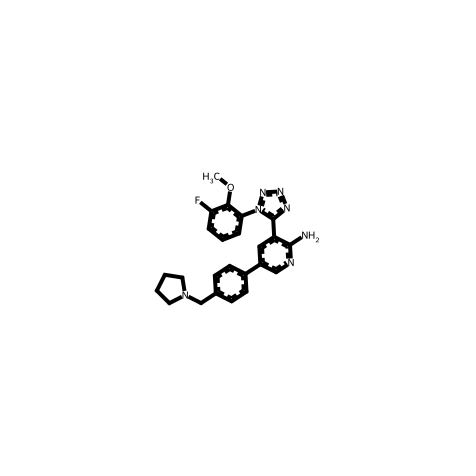 COc1c(F)cccc1-n1nnnc1-c1cc(-c2ccc(CN3CCCC3)cc2)cnc1N